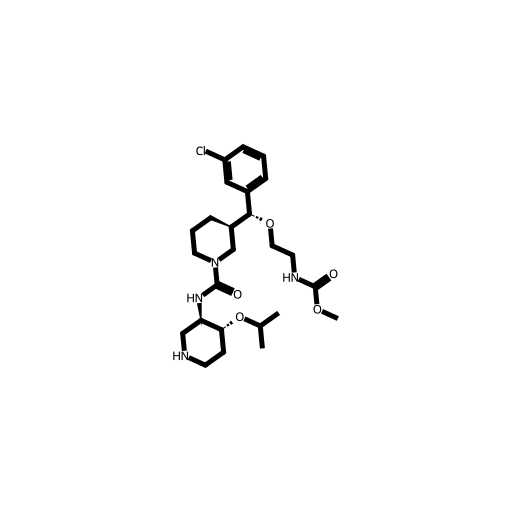 COC(=O)NCCO[C@@H](c1cccc(Cl)c1)[C@@H]1CCCN(C(=O)N[C@@H]2CNCC[C@H]2OC(C)C)C1